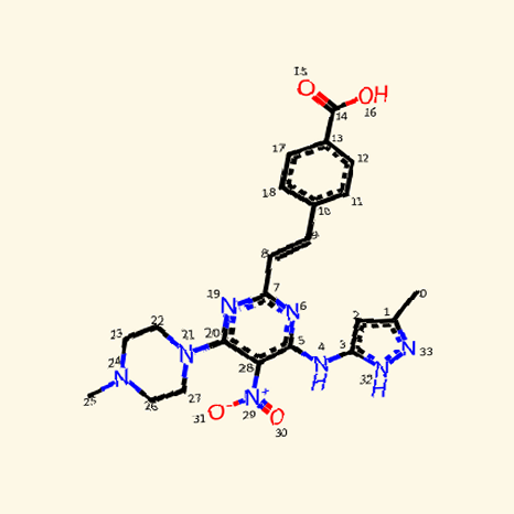 Cc1cc(Nc2nc(C=Cc3ccc(C(=O)O)cc3)nc(N3CCN(C)CC3)c2[N+](=O)[O-])[nH]n1